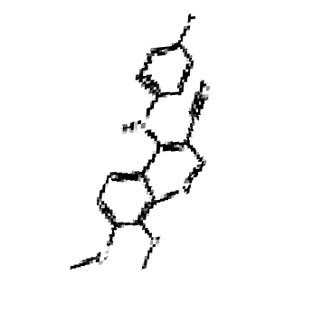 COc1ccc2c(Nc3ccc(F)cc3)c(C#N)cnc2c1OC